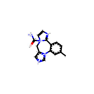 Cc1ccc2c(c1)-n1cncc1C[N+]1(C(N)=O)C=CN=C21